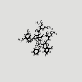 C#CC1(CO[P@@](=O)(NC(Cc2cc(F)cc(F)c2)C(=O)OCC(CC)CC)Oc2ccccc2)OC(n2cnc3c(N)nc(F)nc32)CC1OC(=O)C(CCC)CCC